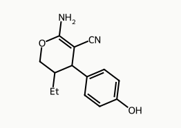 CCC1COC(N)=C(C#N)C1c1ccc(O)cc1